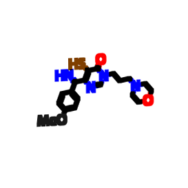 COc1ccc(C(=N)c2ncn(CCCN3CCOCC3)c(=O)c2S)cc1